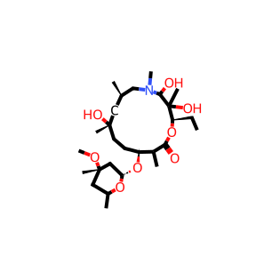 CC[C@H]1OC(=O)C(C)[C@@H](O[C@H]2C[C@@](C)(OC)CC(C)O2)CC[C@](C)(O)C[C@@H](C)CN(C)C(O)C1(C)O